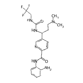 CN(C)CCC(NC(=O)NCC(F)(F)F)c1ccc(C(=O)Nc2ccccc2N)nc1